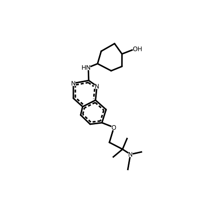 CN(C)C(C)(C)COc1ccc2cnc(NC3CCC(O)CC3)nc2c1